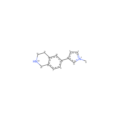 Cn1ccc(-c2ccc3c(c2)CCNC3)c1